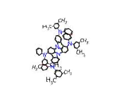 Cc1cc(C)cc(N(c2ccccc2)c2ccc3c(c2)c2c(N(c4ccccc4)c4cc(C)cc(C)c4)ccc4c2n3c2ccc(N(c3ccccc3)c3cc(C)cc(C)c3)c3c5cc(N(c6ccccc6)c6cc(C)cc(C)c6)ccc5n4c32)c1